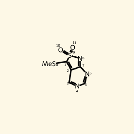 CSC1=c2cncnc2=NS1(=O)=O